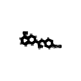 CCCN(CC1CCN(C=O)CC1)C1CCc2c(O)cccc2C1